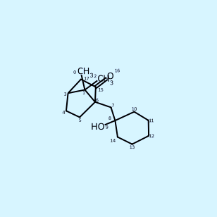 CC1(C)C2CCC1(CC1(O)CCCCC1)C(=O)C2